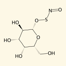 O=NSO[C@@H]1O[C@H](CO)[C@H](O)[C@H](O)[C@H]1O